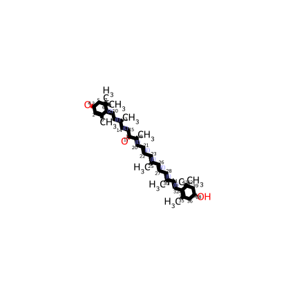 CC1=CC(=O)CC(C)(C)/C1=C/C=C(C)/C=C/C(=O)/C(C)=C/C=C/C=C(C)/C=C/C=C(C)/C=C/C1=C(C)C[C@@H](O)CC1(C)C